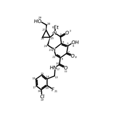 CCN1C(=O)c2c(O)c(=O)c(C(=O)NCc3cccc(Cl)c3F)cn2C[C@]12C[C@H]2CO